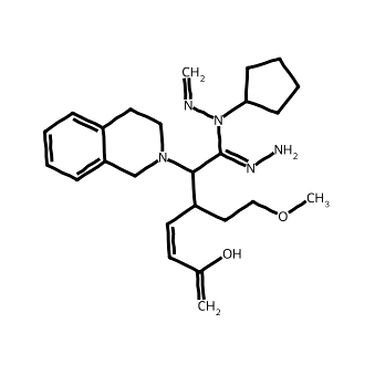 C=NN(/C(=N\N)C(C(/C=C\C(=C)O)CCOC)N1CCc2ccccc2C1)C1CCCC1